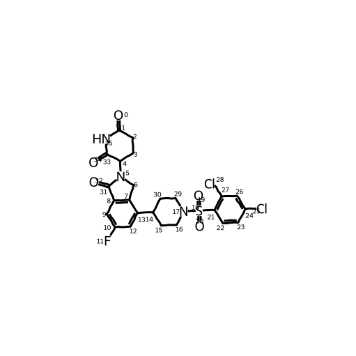 O=C1CCC(N2Cc3c(cc(F)cc3C3CCN(S(=O)(=O)c4ccc(Cl)cc4Cl)CC3)C2=O)C(=O)N1